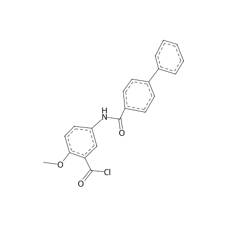 COc1ccc(NC(=O)c2ccc(-c3ccccc3)cc2)cc1C(=O)Cl